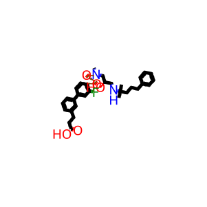 CN(C[C@H](O)CNC(C)(C)CCCc1ccccc1)S(=O)(=O)c1ccc(-c2cccc(CCC(=O)O)c2)cc1F